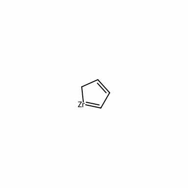 C1=C[CH2][Zr]=[CH]1